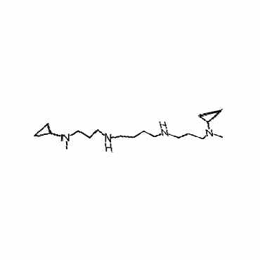 CN(CCCNCCCCNCCCN(C)C1CC1)C1CC1